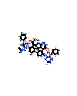 O=c1n(-c2ccccc2)c2nccnc2n1-c1ccc2c(c1)C1(c3cc(-n4c(=O)n(-c5ccccc5)c5nccnc54)ccc3-2)c2cccnc2-c2ncccc21